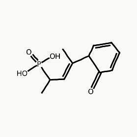 CC(=CC(C)P(=O)(O)O)C1C=CC=CC1=O